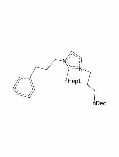 CCCCCCCCCCCCCn1cc[n+](CCCc2ccccc2)c1CCCCCCC